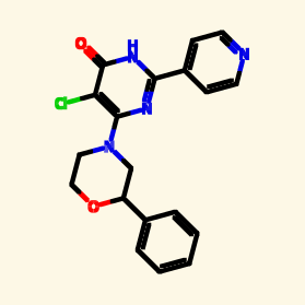 O=c1[nH]c(-c2ccncc2)nc(N2CCOC(c3ccccc3)C2)c1Cl